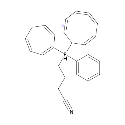 N#CCCC[PH](C1=CC=CCC=C1)(c1ccccc1)C1C=CC=C=C/C=C\1